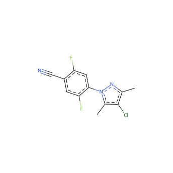 Cc1nn(-c2cc(F)c(C#N)cc2F)c(C)c1Cl